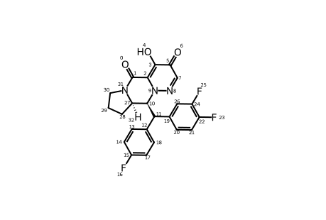 O=C1c2c(O)c(=O)cnn2[C@@H](C(c2ccc(F)cc2)c2ccc(F)c(F)c2)[C@H]2CCCN12